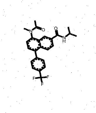 CC(=O)N(C)c1ccc(-c2ccc(C(F)(F)F)cc2)c2ccc(C(=O)NC(C)C)cc12